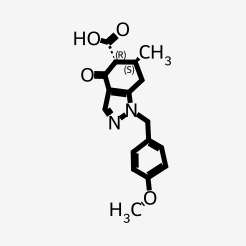 COc1ccc(Cn2ncc3c2C[C@H](C)[C@@H](C(=O)O)C3=O)cc1